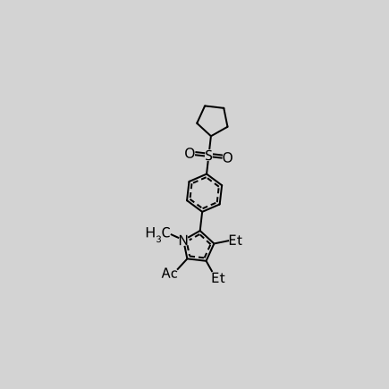 CCc1c(CC)c(-c2ccc(S(=O)(=O)C3CCCC3)cc2)n(C)c1C(C)=O